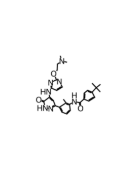 Cc1c(NC(=O)c2ccc(C(C)(C)C)cc2)cccc1-c1cc(Nc2ccnc(OCCN(C)C)n2)c(=O)[nH]n1